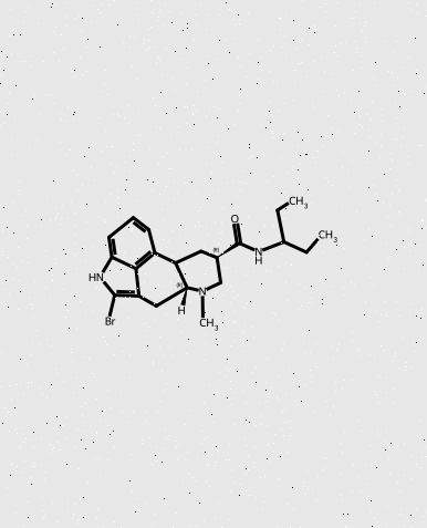 CCC(CC)NC(=O)[C@@H]1CC2c3cccc4[nH]c(Br)c(c34)C[C@H]2N(C)C1